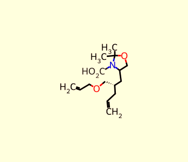 C=CCOC[C@@H](CC=C)CC1COC(C)(C)N1C(=O)O